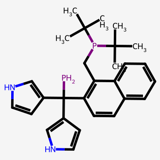 CC(C)(C)P(Cc1c(C(P)(c2cc[nH]c2)c2cc[nH]c2)ccc2ccccc12)C(C)(C)C